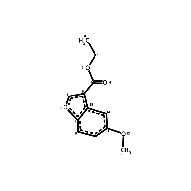 CCOC(=O)c1coc2ccc(OC)cc12